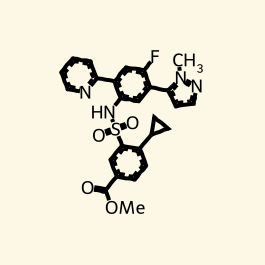 COC(=O)c1ccc(C2CC2)c(S(=O)(=O)Nc2cc(-c3ccnn3C)c(F)cc2-c2ccccn2)c1